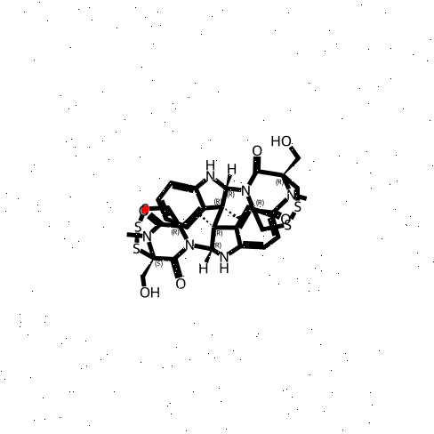 CN1C(=O)[C@]23CSSC[C@@]1(CO)C(=O)N2[C@H]1Nc2ccccc2[C@@]1([C@]12C[C@@]45CSSS[C@@](CO)(C(=O)N4[C@H]1Nc1ccccc12)N(C)C5=O)C3